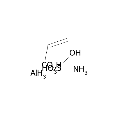 C=CC(=O)O.N.O=S(=O)(O)O.[AlH3]